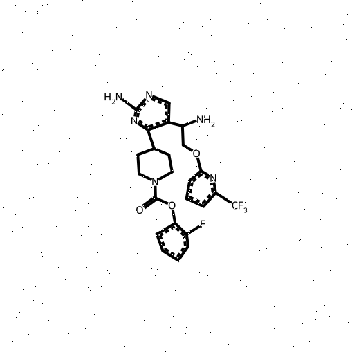 Nc1ncc(C(N)COc2cccc(C(F)(F)F)n2)c(C2CCN(C(=O)Oc3ccccc3F)CC2)n1